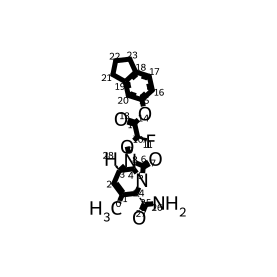 CC1=C[C@@H]2CN(C(=O)N2O[C@H](F)C(=O)Oc2ccc3c(c2)CCC3)[C@@H]1C(N)=O